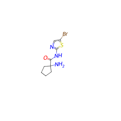 NC1(C(=O)Nc2ncc(Br)s2)CCCC1